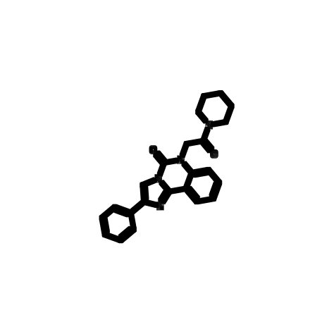 O=C(Cn1c(=O)n2cc(-c3ccccc3)nc2c2ccccc21)N1CCCCC1